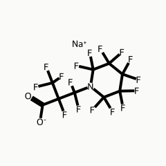 O=C([O-])C(F)(C(F)(F)F)C(F)(F)N1C(F)(F)C(F)(F)C(F)(F)C(F)(F)C1(F)F.[Na+]